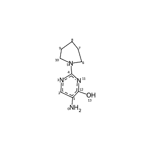 Nc1cnc(N2CCCCC2)nc1O